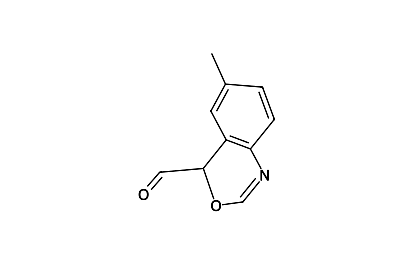 Cc1ccc2c(c1)C(C=O)OC=N2